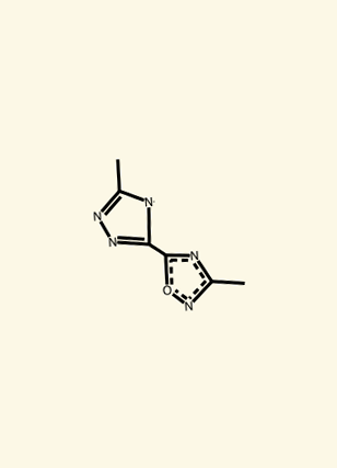 CC1=NN=C(c2nc(C)no2)[N]1